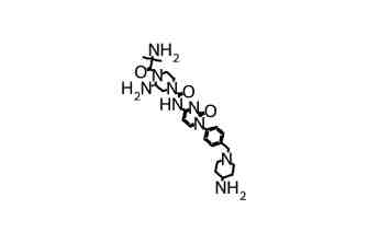 CC(C)(N)C(=O)N1CCN(C(=O)Nc2ccn(-c3ccc(CN4CCC(N)CC4)cc3)c(=O)n2)C[C@H]1N